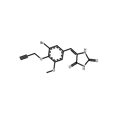 C#CCOc1c(Br)cc(C=C2NC(=O)NC2=O)cc1OC